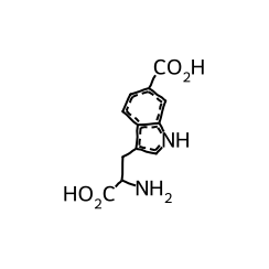 NC(Cc1c[nH]c2cc(C(=O)O)ccc12)C(=O)O